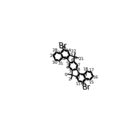 CC1(C)c2cc3c(cc2-c2c1cc(Br)c1ccccc21)C(C)(C)c1cc(Br)c2ccccc2c1-3